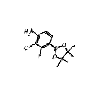 CC1(C)OB(c2ccc(N)c(Cl)c2F)OC1(C)C